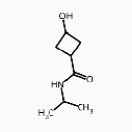 CC(C)NC(=O)C1CC(O)C1